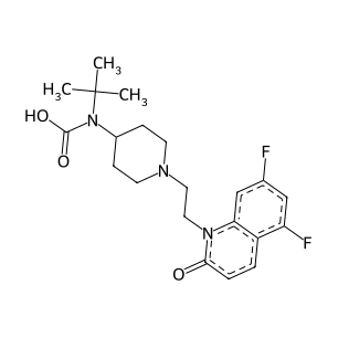 CC(C)(C)N(C(=O)O)C1CCN(CCn2c(=O)ccc3c(F)cc(F)cc32)CC1